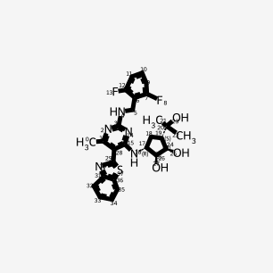 Cc1nc(NCc2c(F)cccc2F)nc(N[C@@H]2C[C@H](C(C)(C)O)[C@@H](O)[C@H]2O)c1-c1nc2ccccc2s1